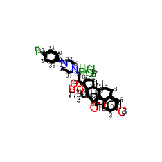 C[C@]12C=CC(=O)C=C1CC[C@@H]1[C@@H]2[C@@H](O)C[C@@]2(C)[C@H]1CC[C@]2(O)C(=O)CN1CCN(c2ccc(F)cc2)CC1.Cl.Cl